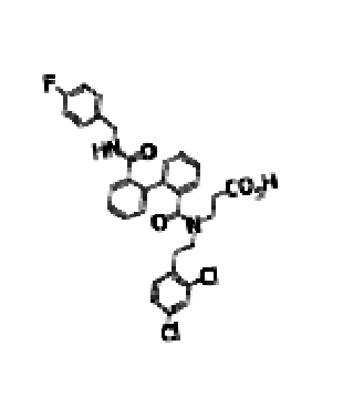 O=C(O)CCN(CCc1ccc(Cl)cc1Cl)C(=O)c1ccccc1-c1ccccc1C(=O)NCc1ccc(F)cc1